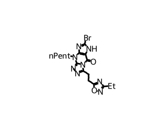 CCCCCn1c2nc(Br)[nH]c2c(=O)n2c(CCc3nc(CC)no3)nnc12